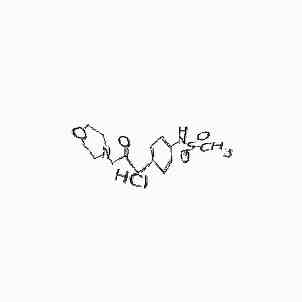 CS(=O)(=O)Nc1ccc(CC(=O)CN2CCOCC2)cc1.Cl